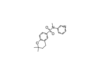 CN(c1cccnc1)S(=O)(=O)c1ccc2c(c1)CCC(C)(C)O2